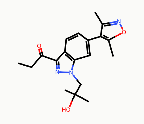 CCC(=O)c1nn(CC(C)(C)O)c2cc(-c3c(C)noc3C)ccc12